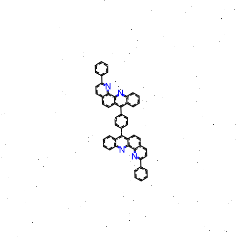 c1ccc(-c2ccc3ccc4c(-c5ccc(-c6c7ccccc7nc7c6ccc6ccc(-c8ccccc8)nc67)cc5)c5ccccc5nc4c3n2)cc1